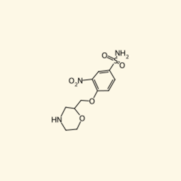 NS(=O)(=O)c1ccc(OCC2CNCCO2)c([N+](=O)[O-])c1